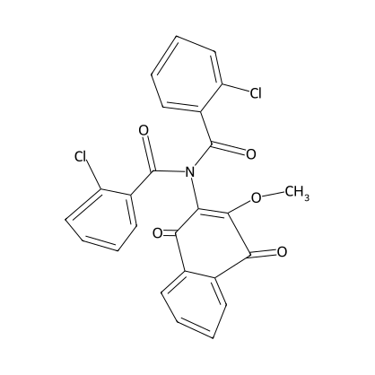 COC1=C(N(C(=O)c2ccccc2Cl)C(=O)c2ccccc2Cl)C(=O)c2ccccc2C1=O